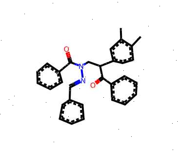 Cc1ccc(C(CN(N=Cc2ccccc2)C(=O)c2ccccc2)C(=O)c2ccccc2)cc1C